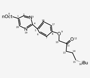 CCCCCCCCc1cnc(-c2ccc(OCC(=O)CCC[C@@H](C)CC)cc2)nc1